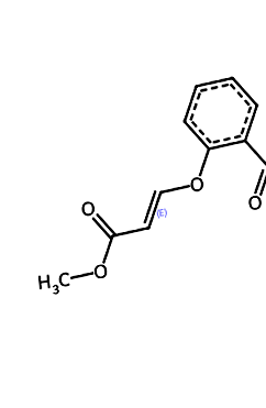 COC(=O)/C=C/Oc1ccccc1C=O